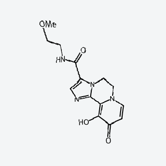 COCCNC(=O)c1cnc2n1CCn1ccc(=O)c(O)c1-2